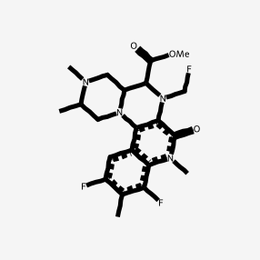 COC(=O)C1C2CN(C)C(C)CN2c2c(c(=O)n(C)c3c(F)c(C)c(F)cc23)N1CF